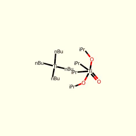 CC(C)[O][Ti](=[O])([O]C(C)C)([CH](C)C)[CH](C)C.CCC[CH2][Ti]([CH2]CCC)([CH2]CCC)[CH2]CCC